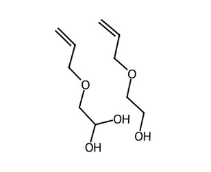 C=CCOCC(O)O.C=CCOCCO